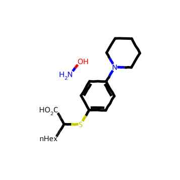 CCCCCCC(Sc1ccc(N2CCCCC2)cc1)C(=O)O.NO